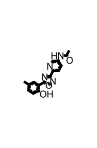 CC(=O)Nc1ccc(-c2noc(-c3cc(C)ccc3O)n2)nc1